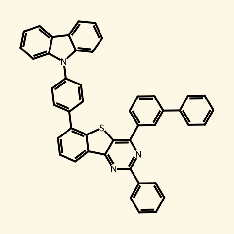 c1ccc(-c2cccc(-c3nc(-c4ccccc4)nc4c3sc3c(-c5ccc(-n6c7ccccc7c7ccccc76)cc5)cccc34)c2)cc1